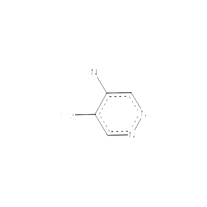 Nc1cnncc1O